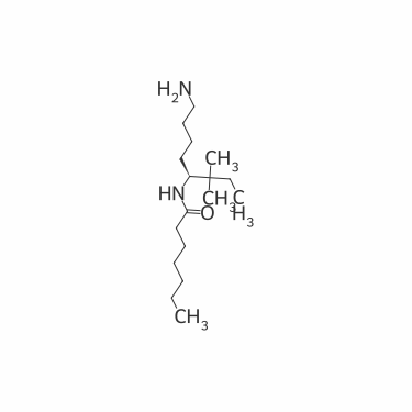 CCCCCCC(=O)N[C@@H](CCCCN)C(C)(C)CC